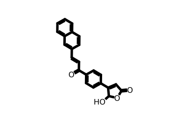 O=C1C=C(c2ccc(C(=O)/C=C/c3ccc4ccccc4c3)cc2)C(O)O1